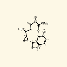 CCN(C(=O)NC)C(C)CC(N)[C@@H]1C[C@H]1c1c[nH]c2ccc(C#N)cc12